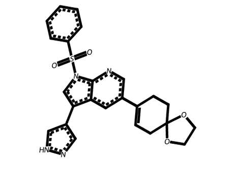 O=S(=O)(c1ccccc1)n1cc(-c2cn[nH]c2)c2cc(C3=CCC4(CC3)OCCO4)cnc21